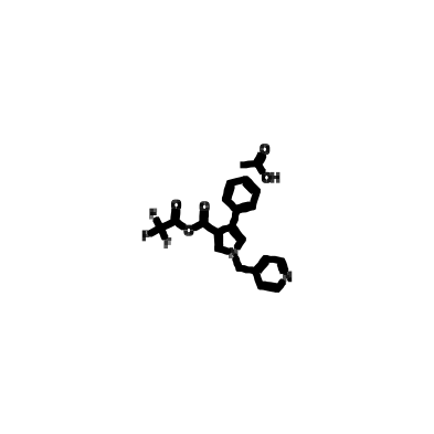 CC(=O)O.O=C(OC(=O)C(F)(F)F)c1cn(Cc2ccncc2)cc1-c1ccccc1